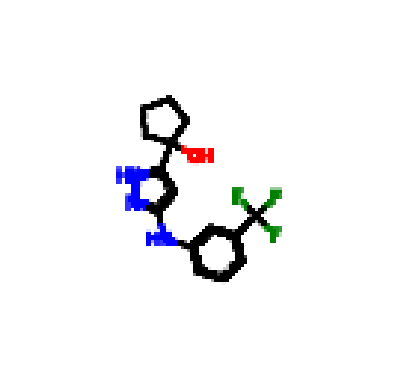 OC1(c2cc(Nc3cccc(C(F)(F)F)c3)n[nH]2)CCCC1